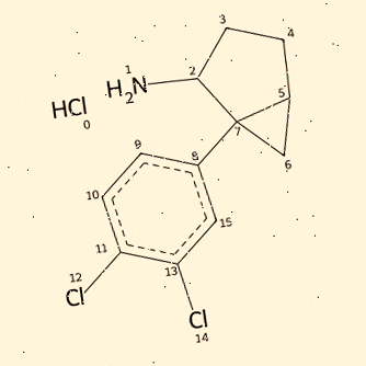 Cl.NC1CCC2CC12c1ccc(Cl)c(Cl)c1